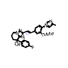 COc1cc(/C=C/c2nc3n(n2)CCC[C@@]3(O)c2ccc(F)cc2)ccc1-n1cnc(C)c1